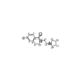 O=C1c2ccc(I)cc2CCN1CCN1CCCC1